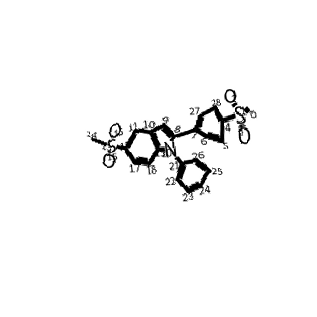 CS(=O)(=O)c1ccc(-c2cc3cc(S(C)(=O)=O)ccc3n2-c2ccccc2)cc1